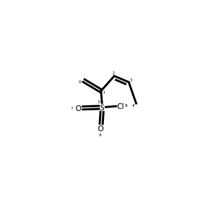 C=C(/C=C\C)S(=O)(=O)Cl